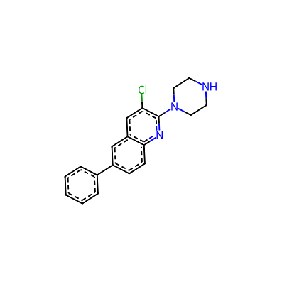 Clc1cc2cc(-c3ccccc3)ccc2nc1N1CCNCC1